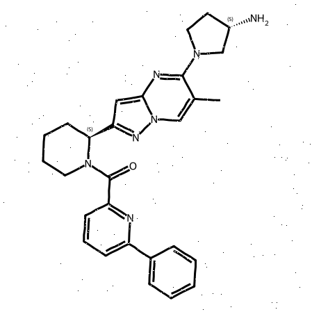 Cc1cn2nc([C@@H]3CCCCN3C(=O)c3cccc(-c4ccccc4)n3)cc2nc1N1CC[C@H](N)C1